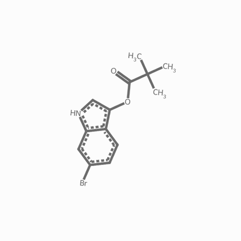 CC(C)(C)C(=O)Oc1c[nH]c2cc(Br)ccc12